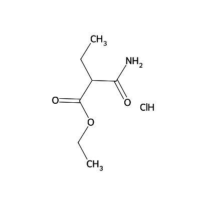 CCOC(=O)C(CC)C(N)=O.Cl